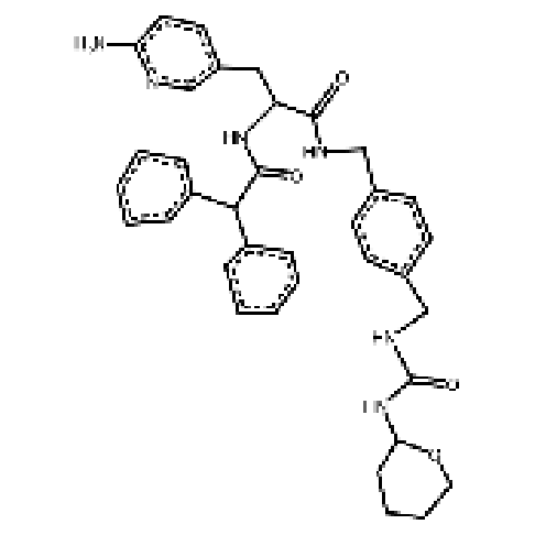 Nc1ccc(CC(NC(=O)C(c2ccccc2)c2ccccc2)C(=O)NCc2ccc(CNC(=O)NC3CCCCO3)cc2)cn1